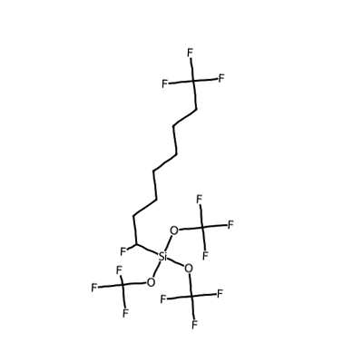 FC(CCCCCCC(F)(F)F)[Si](OC(F)(F)F)(OC(F)(F)F)OC(F)(F)F